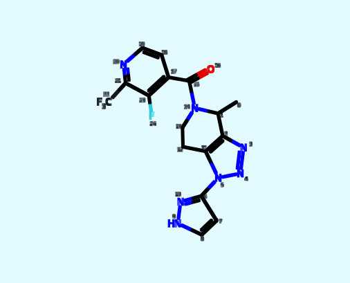 CC1c2nnn(-c3cc[nH]n3)c2CCN1C(=O)c1ccnc(C(F)(F)F)c1F